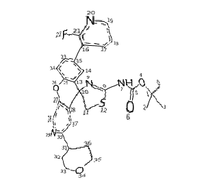 CC(C)(C)OC(=O)NC1=NC2(CS1)c1cc(-c3cccnc3F)ccc1Oc1cnc(C3CCOCC3)cc12